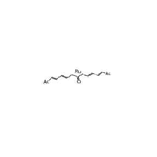 CC(=O)/C=C/C=C/CC(=O)C/C=C/C=C/C(C)=O.[Ru]